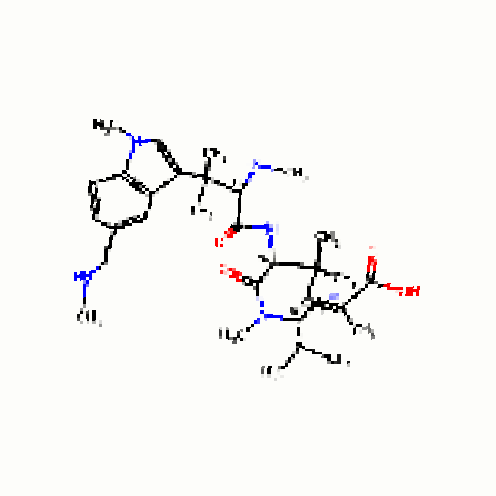 CNCc1ccc2c(c1)c(C(C)(C)[C@@H](NC)C(=O)N[C@H](C(=O)N(C)[C@H](/C=C(\C)C(=O)O)C(C)C)C(C)(C)C)cn2C